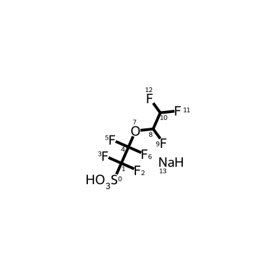 O=S(=O)(O)C(F)(F)C(F)(F)OC(F)C(F)F.[NaH]